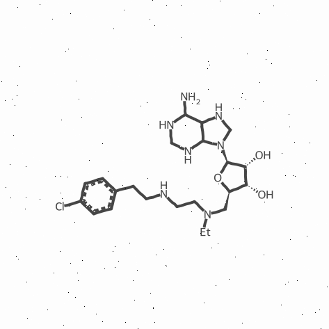 CCN(CCNCCc1ccc(Cl)cc1)C[C@H]1O[C@@H](N2CNC3C(N)NCNC32)[C@H](O)[C@@H]1O